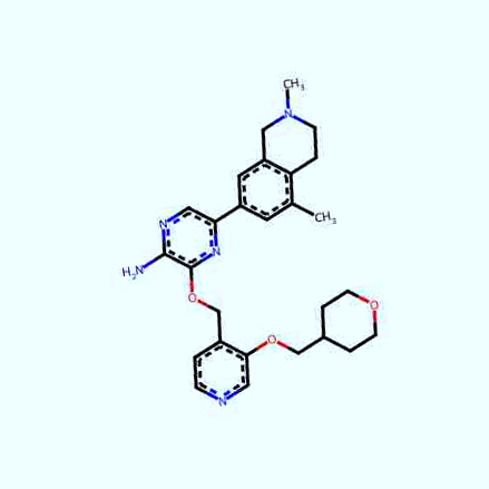 Cc1cc(-c2cnc(N)c(OCc3ccncc3OCC3CCOCC3)n2)cc2c1CCN(C)C2